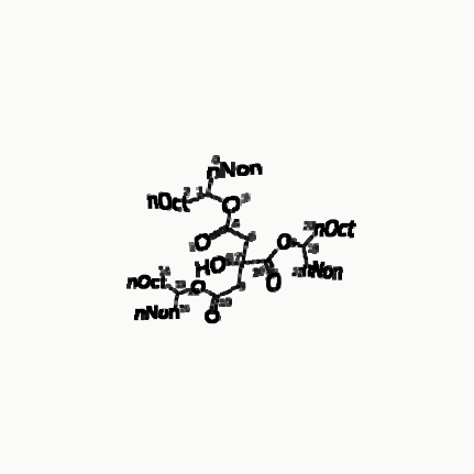 CCCCCCCCCC(CCCCCCCC)OC(=O)CC(O)(CC(=O)OC(CCCCCCCC)CCCCCCCCC)C(=O)OC(CCCCCCCC)CCCCCCCCC